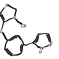 N#CN1CSC=C1Oc1cccc(-c2ccn[nH]2)c1